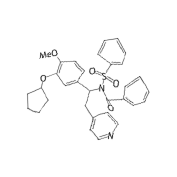 COc1ccc(C(Cc2ccncc2)N(C(=O)c2ccccc2)S(=O)(=O)c2ccccc2)cc1OC1CCCC1